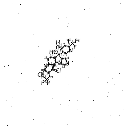 Cc1cc(C(F)(F)F)ncc1C(O)(c1ccc2nc(Cl)c(CC(F)(F)F)c(Cl)c2c1)c1cncn1C